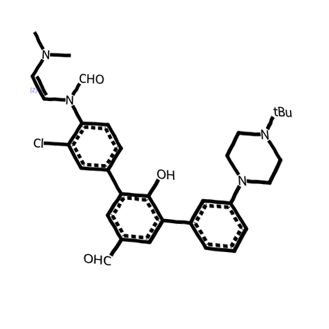 CN(C)/C=C\N(C=O)c1ccc(-c2cc(C=O)cc(-c3cccc(N4CCN(C(C)(C)C)CC4)c3)c2O)cc1Cl